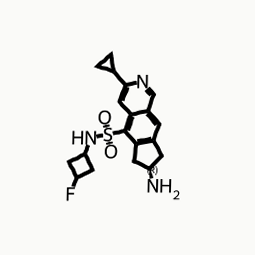 N[C@@H]1Cc2cc3cnc(C4CC4)cc3c(S(=O)(=O)NC3CC(F)C3)c2C1